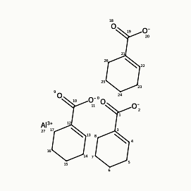 O=C([O-])C1=CCCCC1.O=C([O-])C1=CCCCC1.O=C([O-])C1=CCCCC1.[Al+3]